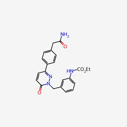 CCOC(=O)Nc1cccc(Cn2nc(-c3ccc(CC(N)=O)cc3)ccc2=O)c1